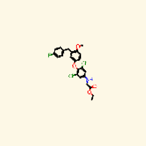 CCOC(=O)CNc1cc(Cl)c(Oc2ccc(OC)c(Cc3ccc(F)cc3)c2)c(Cl)c1